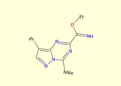 CCOC(=N)c1nc(NC)n2ncc(C(C)C)c2n1